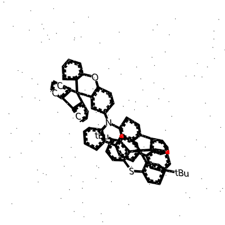 CC(C)(C)c1ccc2c(c1)C1(c3cc(C(C)(C)C)ccc3S2)c2ccccc2-c2ccc(N(c3ccc4c(c3)C3(c5ccccc5O4)c4ccccc4-c4ccccc43)c3ccccc3-c3ccc(-c4ccccc4)cc3)cc21